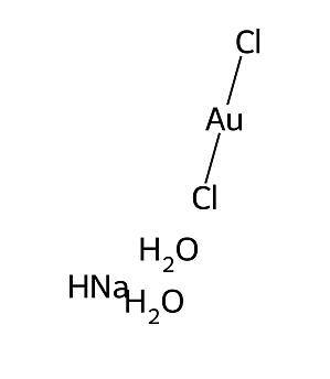 O.O.[Cl][Au][Cl].[NaH]